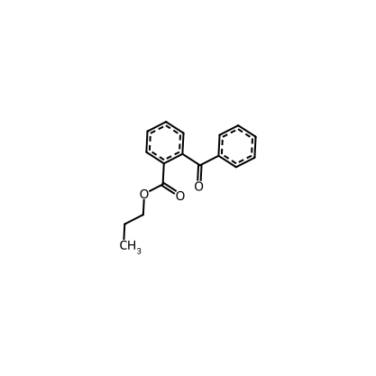 CCCOC(=O)c1ccccc1C(=O)c1ccccc1